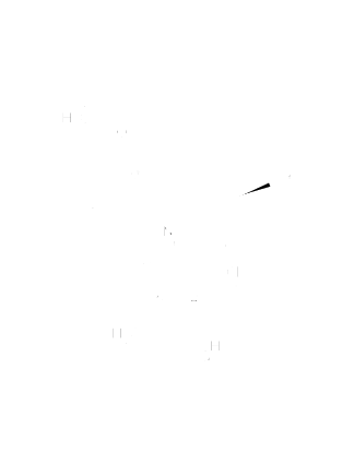 C=C(CN1C[C@H](F)CC1C(=O)OC)C(C)Cl